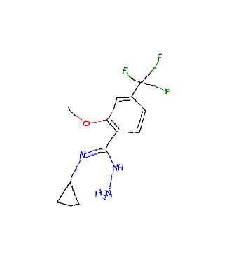 COc1cc(C(F)(F)F)ccc1C(=NC1CC1)NN